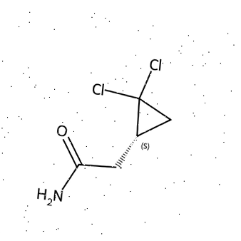 NC(=O)[CH][C@H]1CC1(Cl)Cl